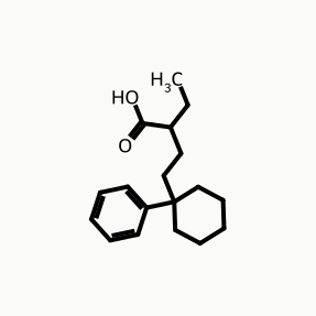 CCC(CCC1(c2ccccc2)CCCCC1)C(=O)O